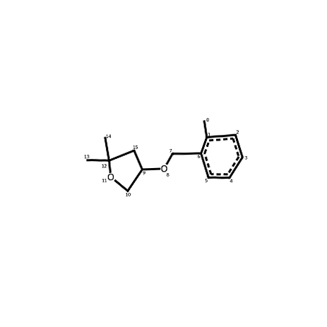 Cc1ccccc1COC1COC(C)(C)C1